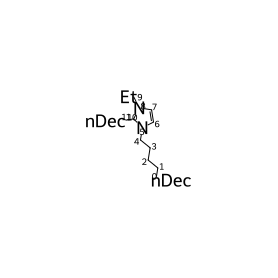 CCCCCCCCCCCCCCN1C=CN(CC)C1CCCCCCCCCC